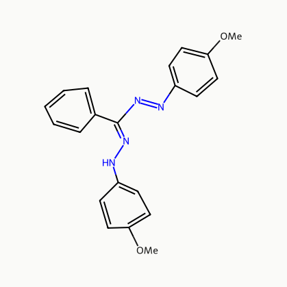 COc1ccc(N=NC(=NNc2ccc(OC)cc2)c2ccccc2)cc1